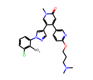 CN(C)CCCOc1ccc(-c2cc(=O)n(C)cc2-c2cnn(-c3cccc(Cl)c3[N+](=O)[O-])c2)cn1